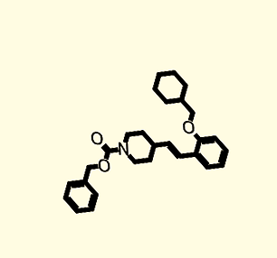 O=C(OCc1ccccc1)N1CCC(C=Cc2ccccc2OCC2CCCCC2)CC1